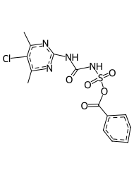 Cc1nc(NC(=O)NS(=O)(=O)OC(=O)c2ccccc2)nc(C)c1Cl